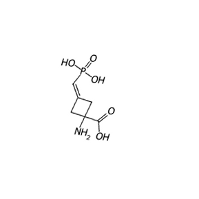 NC1(C(=O)O)CC(=CP(=O)(O)O)C1